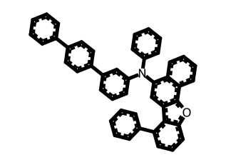 c1ccc(-c2ccc(-c3cccc(N(c4ccccc4)c4cc5c(oc6cccc(-c7ccccc7)c65)c5ccccc45)c3)cc2)cc1